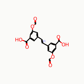 O=COc1cc(/C=C/c2cc(OC=O)cc(C(=O)O)c2)cc(C(=O)O)c1